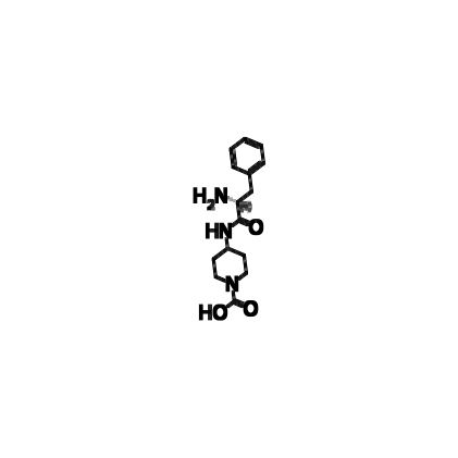 N[C@H](Cc1ccccc1)C(=O)NC1CCN(C(=O)O)CC1